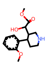 COC(=O)C(O)C1CNCCC1c1ccccc1OC